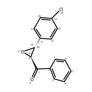 O=C(c1ccccc1)[C@H]1O[C@@H]1c1ccc(Cl)cc1